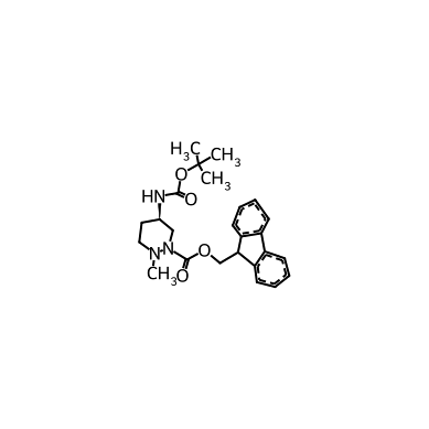 CN1CC[C@@H](NC(=O)OC(C)(C)C)CN1C(=O)OCC1c2ccccc2-c2ccccc21